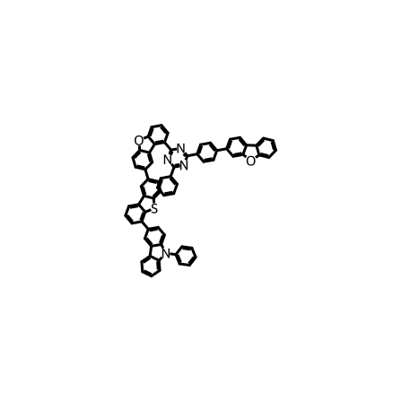 c1ccc(-c2nc(-c3ccc(-c4ccc5c(c4)oc4ccccc45)cc3)nc(-c3cccc4oc5ccc(-c6ccc7sc8c(-c9ccc%10c(c9)c9ccccc9n%10-c9ccccc9)cccc8c7c6)cc5c34)n2)cc1